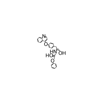 OC[C@H](Cc1ccc(Oc2ccnc3ccccc23)cc1)NC[C@H](O)COc1ccccc1